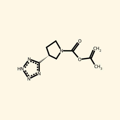 C=C(C)OC(=O)N1CC[C@@H](c2nn[nH]n2)C1